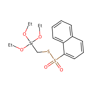 CCO[Si](CSS(=O)(=O)c1cccc2ccccc12)(OCC)OCC